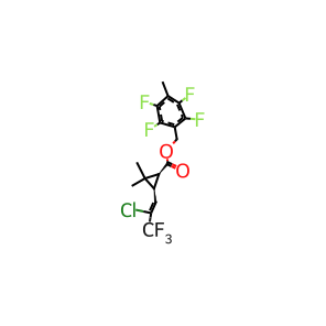 Cc1c(F)c(F)c(COC(=O)[C@H]2[C@@H](C=C(Cl)C(F)(F)F)C2(C)C)c(F)c1F